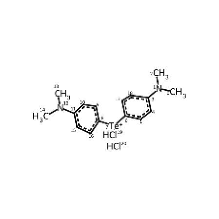 CN(C)c1ccc([Te+]c2ccc(N(C)C)cc2)cc1.Cl.Cl